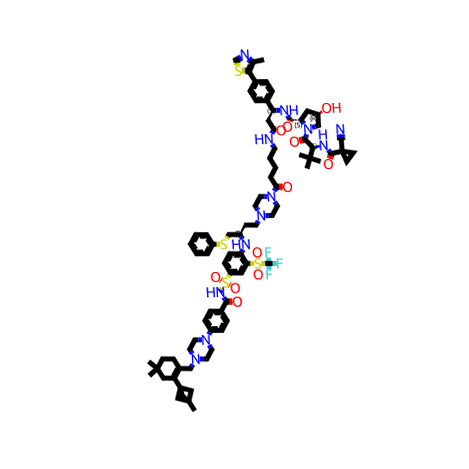 Cc1ncsc1-c1ccc([C@H](CC(=O)NCCCCC(=O)N2CCN(CC[C@H](CSc3ccccc3)Nc3ccc(S(=O)(=O)NC(=O)c4ccc(N5CCN(CC6=C(C78CC(C)(C7)C8)CC(C)(C)CC6)CC5)cc4)cc3S(=O)(=O)C(F)(F)F)CC2)NC(=O)[C@@H]2C[C@@H](O)CN2C(=O)[C@@H](NC(=O)C2(C#N)CC2)C(C)(C)C)cc1